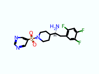 N[C@H](Cc1cc(F)c(F)cc1F)C1CCN(S(=O)(=O)c2cncnc2)CC1